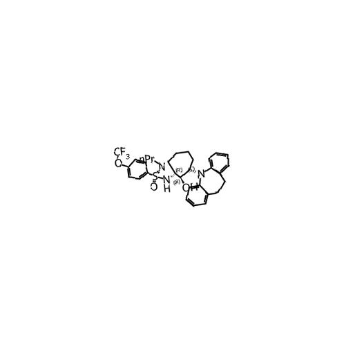 CCCN=S(=O)(N[C@@H]1CCCC[C@H](N2c3ccccc3CCc3ccccc32)[C@H]1O)c1ccc(OC(F)(F)F)cc1